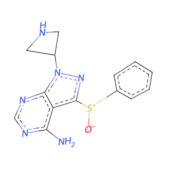 Nc1ncnc2c1c([S+]([O-])c1ccccc1)nn2C1CNC1